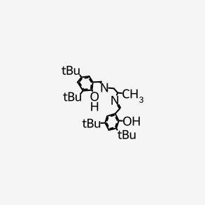 CC(CN=Cc1cc(C(C)(C)C)cc(C(C)(C)C)c1O)N=Cc1cc(C(C)(C)C)cc(C(C)(C)C)c1O